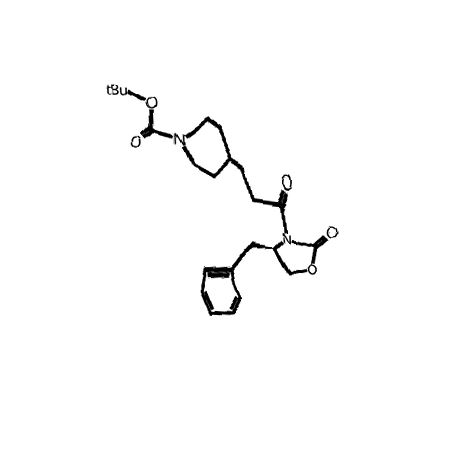 CC(C)(C)OC(=O)N1CCC(CCC(=O)N2C(=O)OC[C@H]2Cc2ccccc2)CC1